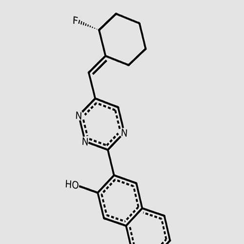 Oc1cc2cnccc2cc1-c1ncc(/C=C2\CCCC[C@H]2F)nn1